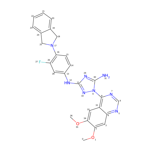 COc1cc2ncnc(-n3nc(Nc4ccc(N5Cc6ccccc6C5)c(F)c4)nc3N)c2cc1OC